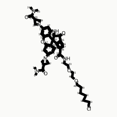 CN(C)C(=O)C1CN(c2ccc3c(c2)Oc2cc(N4CC(C(=O)N(C)C)C4)ccc2C32C(=N)C(=O)c3ccc(C(=O)NCCOCCOCCCCCCCl)cc32)C1